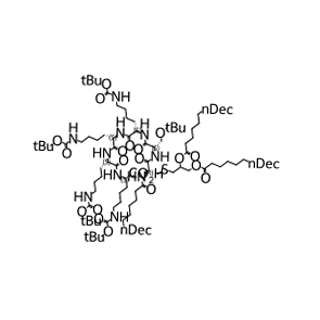 CCCCCCCCCCCCCCCC(=O)N[C@@H](CSCC(COC(=O)CCCCCCCCCCCCCCC)OC(=O)CCCCCCCCCCCCCCC)C(=O)N[C@@H](COC(C)(C)C)C(=O)N[C@@H](CCCCNC(=O)OC(C)(C)C)C(=O)N[C@@H](CCCCNC(=O)OC(C)(C)C)C(=O)N[C@@H](CCCCNC(=O)OC(C)(C)C)C(=O)N[C@@H](CCCCNC(=O)OC(C)(C)C)C(=O)O